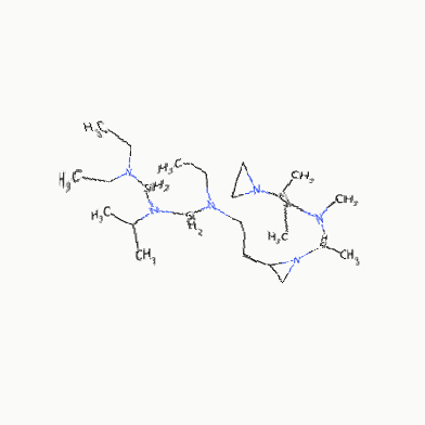 CCN(CC)[SiH2]N([SiH2]N(CC)CCC1CN1[SiH](C)N(C)[Si](C)(C)N1CC1)C(C)C